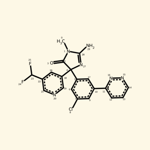 CN1C(=O)C(c2cc(Cl)cc(-c3cccnn3)c2)(c2cncc(C(F)F)c2)N=C1N